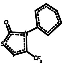 O=c1s[c]c(C(F)(F)F)n1-c1ccccc1